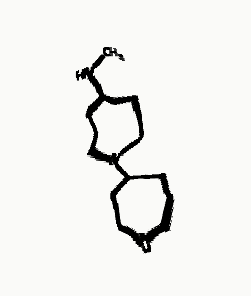 CNC1CCN(C2CCCOCC2)CC1